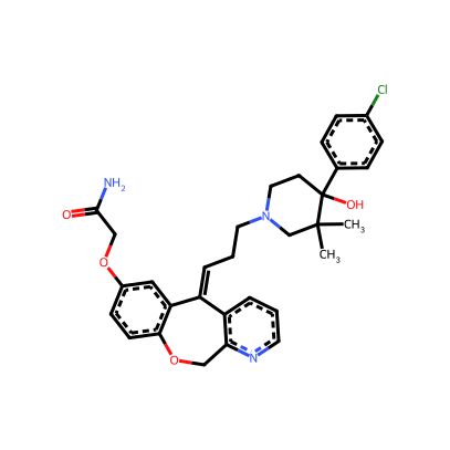 CC1(C)CN(CCC=C2c3cc(OCC(N)=O)ccc3OCc3ncccc32)CCC1(O)c1ccc(Cl)cc1